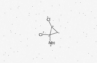 [NH]C1(Cl)CC1Cl